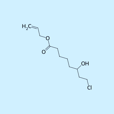 C=CCOC(=O)CCCCC(O)CCCl